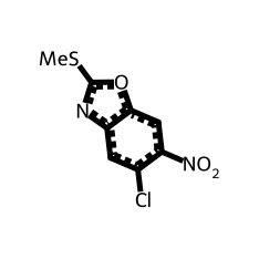 CSc1nc2cc(Cl)c([N+](=O)[O-])cc2o1